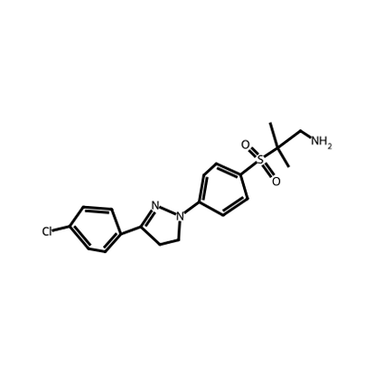 CC(C)(CN)S(=O)(=O)c1ccc(N2CCC(c3ccc(Cl)cc3)=N2)cc1